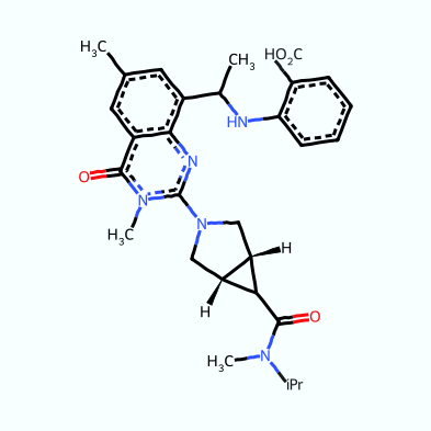 Cc1cc(C(C)Nc2ccccc2C(=O)O)c2nc(N3C[C@@H]4C(C(=O)N(C)C(C)C)[C@@H]4C3)n(C)c(=O)c2c1